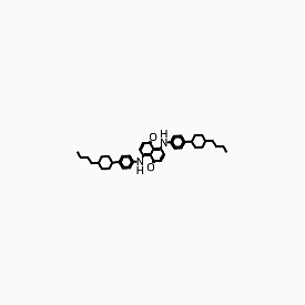 CCCCC1CCC(c2ccc(NC3=C4C(=O)C=CC(Nc5ccc(C6CCC(CCCC)CC6)cc5)=C4C(=O)C=C3)cc2)CC1